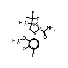 COc1c([C@@H]2C[C@](C)(C(F)(F)F)S[C@H]2C(N)=O)ccc(F)c1F